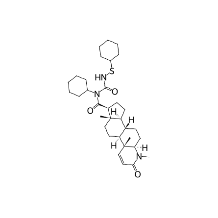 CN1C(=O)C=C[C@]2(C)[C@H]3CC[C@]4(C)[C@@H](C(=O)N(C(=O)NSC5CCCCC5)C5CCCCC5)CC[C@H]4[C@@H]3CC[C@@H]12